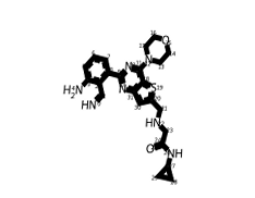 N=Cc1c(N)cccc1-c1nc(N2CCOCC2)c2sc(CNCC(=O)NC3CC3)cc2n1